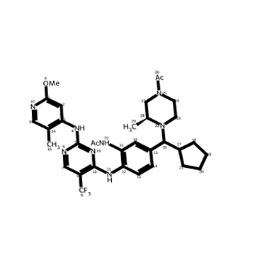 COc1cc(Nc2ncc(C(F)(F)F)c(Nc3ccc(C(C4CCCC4)N4CCN(C(C)=O)C[C@@H]4C)cc3NC(C)=O)n2)c(C)cn1